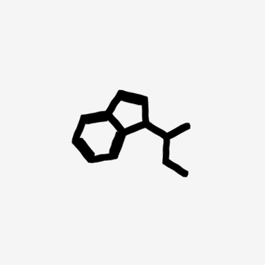 CCC(C)C1C=Cc2ccccc21